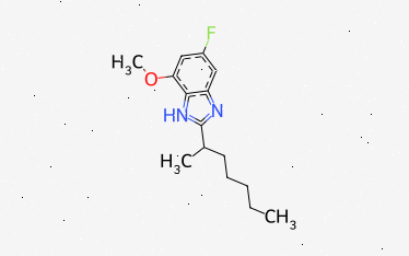 CCCCCC(C)c1nc2cc(F)cc(OC)c2[nH]1